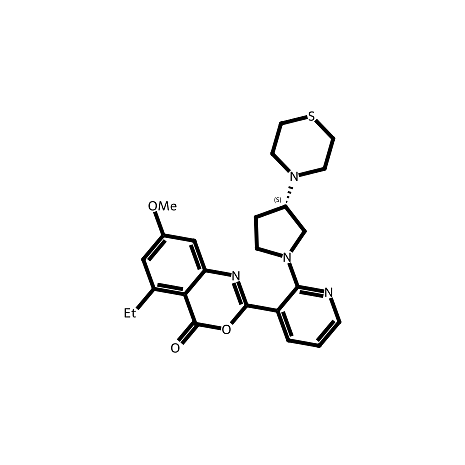 CCc1cc(OC)cc2nc(-c3cccnc3N3CC[C@H](N4CCSCC4)C3)oc(=O)c12